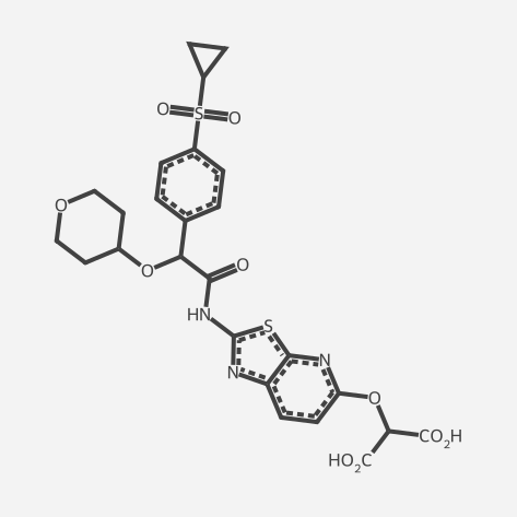 O=C(O)C(Oc1ccc2nc(NC(=O)C(OC3CCOCC3)c3ccc(S(=O)(=O)C4CC4)cc3)sc2n1)C(=O)O